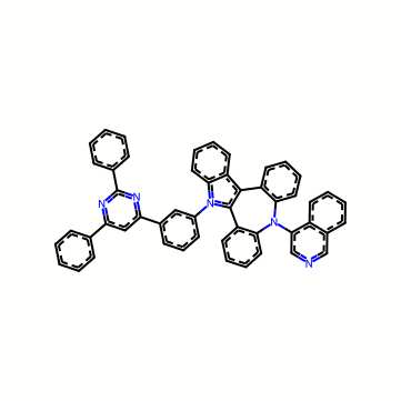 c1ccc(-c2cc(-c3cccc(-n4c5c(c6ccccc64)-c4ccccc4N(c4cncc6ccccc46)c4ccccc4-5)c3)nc(-c3ccccc3)n2)cc1